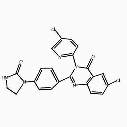 O=C1NCCN1c1ccc(-c2nc3ccc(Cl)cc3c(=O)n2-c2ccc(Cl)cn2)cc1